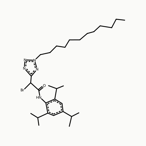 CCCCCCCCCCCCn1nnc(C(Br)C(=O)Nc2c(C(C)C)cc(C(C)C)cc2C(C)C)n1